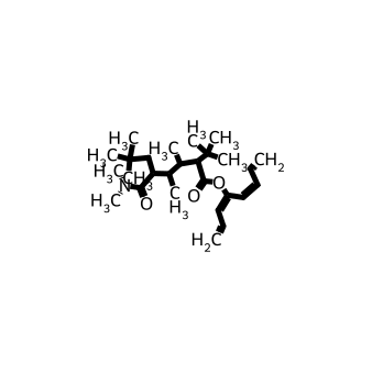 C=C/C=C\C(=C/C=C)OC(=O)C(C(C)C(C)C(CC(C)(C)C)C(=O)N(C)C)C(C)(C)C